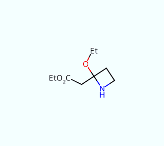 CCOC(=O)CC1(OCC)CCN1